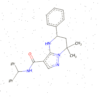 CC(C)C(NC(=O)c1cnn2c1NC(c1ccccc1)CC2(C)C)C(C)C